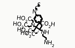 NCCN[C@](CC(=O)O)(Cc1ccc(N=C=S)cc1)C(CC(=O)O)(CC(=O)O)N(CC(=O)O)CC(=O)O